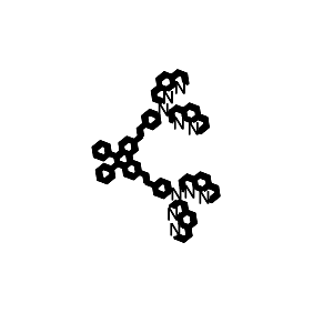 C(=C\c1ccc2c(-c3ccccc3)c(-c3ccccc3)c3ccc(/C=C/c4ccc(N(c5cnc6c(ccc7cccnc76)c5)c5ccc6ccc7cccnc7c6n5)cc4)cc3c2c1)/c1ccc(N(c2cnc3c(ccc4cccnc43)c2)c2ccc3ccc4cccnc4c3n2)cc1